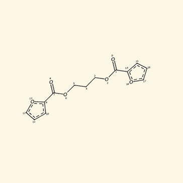 O=C(OCCCOC(=O)c1ccco1)c1ccco1